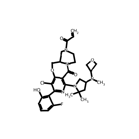 C=CC(=O)N1CCN2C(=O)c3c(N4CC(N(C)C5COC5)CC4(C)C)nc(-c4c(O)cccc4F)c(Cl)c3OCC2C1